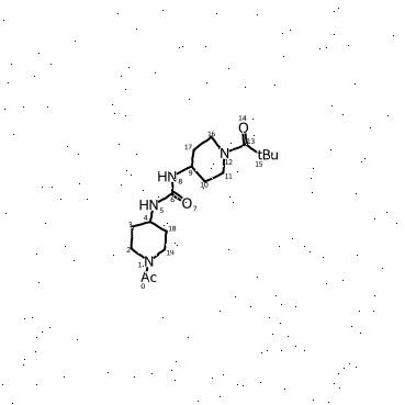 CC(=O)N1CCC(NC(=O)NC2CCN(C(=O)C(C)(C)C)CC2)CC1